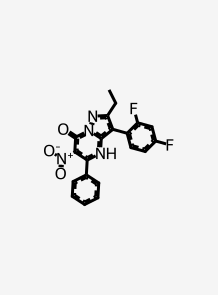 CCc1nn2c(=O)c([N+](=O)[O-])c(-c3ccccc3)[nH]c2c1-c1ccc(F)cc1F